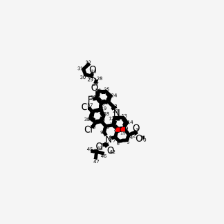 COC(=O)C1CCC(N(CC(c2ccccc2)c2cc(-c3c(C#N)ccc(OC[C@@H]4CCCO4)c3F)c(Cl)cc2Cl)C(=O)OC(C)(C)C)CC1